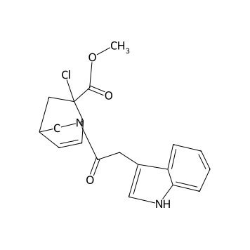 COC(=O)C1(Cl)CC2C=CC1N(C(=O)Cc1c[nH]c3ccccc13)C2